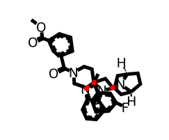 COC(=O)c1cccc(C(=O)N2CCC(CCN3[C@@H]4CC[C@H]3CC(n3c(C)nc5ccccc53)C4)(c3cccc(F)c3)CC2)c1